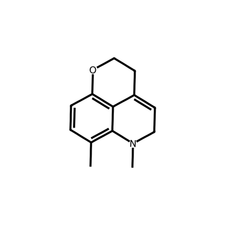 Cc1ccc2c3c1N(C)CC=C3CCO2